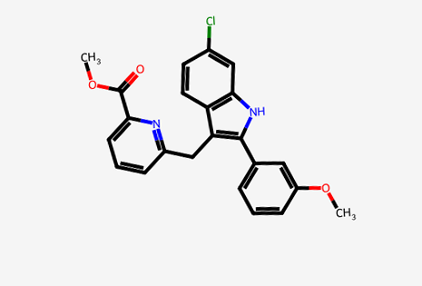 COC(=O)c1cccc(Cc2c(-c3cccc(OC)c3)[nH]c3cc(Cl)ccc23)n1